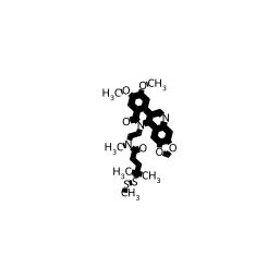 COc1cc2c(=O)n(CCN(C)C(=O)CCC(C)(C)SSC)c3c4cc5c(cc4ncc3c2cc1OC)OCO5